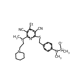 CCc1c(C#N)c(SCc2ccc(N(C)[S+](C)[O-])cc2)nc(N(C)CCN2CCCCC2)c1C#N